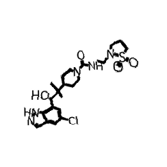 CC(C)(C1CCN(C(=O)NCCN2CCCS2(=O)=O)CC1)C(O)c1cc(Cl)cc2cn[nH]c12